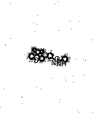 N=C(OC(=N)c1cccc(-c2ccc3c(c2)C2(c4ccccc4O3)c3ccccc3-c3ccccc32)c1)c1ccccc1